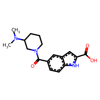 CN(C)C1CCCN(C(=O)c2ccc3[nH]c(C(=O)O)cc3c2)C1